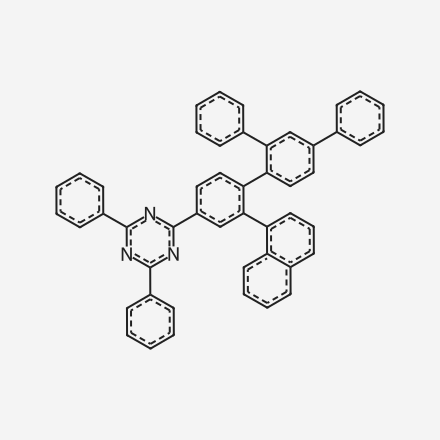 c1ccc(-c2ccc(-c3ccc(-c4nc(-c5ccccc5)nc(-c5ccccc5)n4)cc3-c3cccc4ccccc34)c(-c3ccccc3)c2)cc1